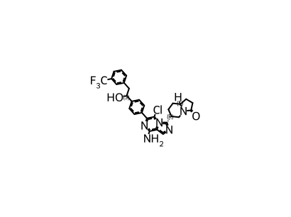 Nc1nc(-c2ccc([C@@H](O)Cc3cccc(C(F)(F)F)c3)cc2)c(Cl)n2c([C@@H]3CC[C@H]4CCC(=O)N4C3)ncc12